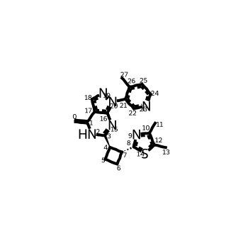 C=C1NC([C@@H]2CC[C@H]2c2nc(C)c(C)s2)=Nc2c1cnn2-c1cnccc1C